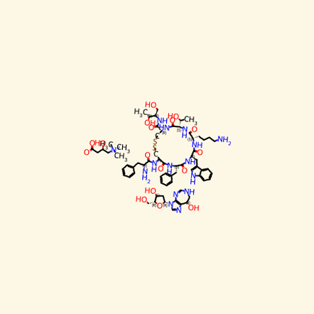 CC(O)[C@@H]1NC(=O)[C@H](CCCCN)NC(=O)[C@@H](Cc2c[nH]c3ccccc23)NC(=O)[C@H](Cc2ccccc2)NC(=O)[C@@H](NC(=O)[C@H](N)Cc2ccccc2)CSSC[C@@H](C(=O)N[C@H](CO)[C@@H](C)O)NC1=O.C[N+](C)(C)CC(O)CC(=O)[O-].OC[C@H]1O[C@@H](n2cnc3c2N=CNC[C@H]3O)C[C@@H]1O